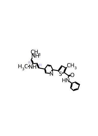 CN/C=C(\C=C\c1ccc(-c2cc(C)c(C(=O)Nc3ccccc3)s2)nc1)NC